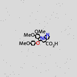 COc1ccc(Oc2c(/C=C(/C(=O)O)c3ccncc3)[nH]c3cc(OC)c(OC)cc23)cc1